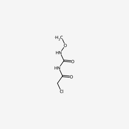 [CH2]ONC(=O)NC(=O)CCl